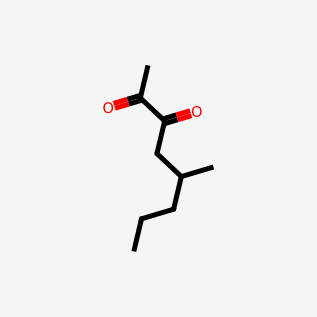 CCCC(C)CC(=O)C(C)=O